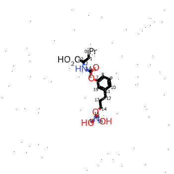 CC(C)CC(NC(=O)Oc1cccc(CCCON(O)O)c1)C(=O)O